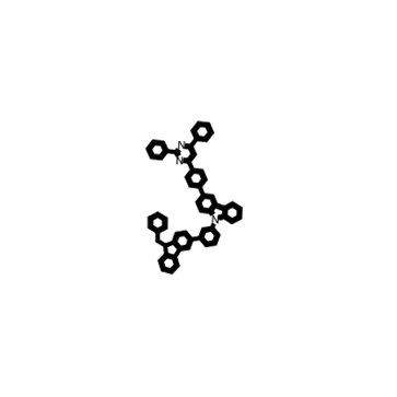 c1ccc(CC2c3ccccc3-c3cc(-c4cccc(-n5c6ccccc6c6cc(-c7ccc(-c8cc(-c9ccccc9)nc(-c9ccccc9)n8)cc7)ccc65)c4)ccc32)cc1